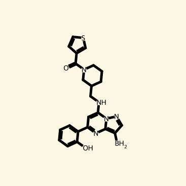 Bc1cnn2c(NCC3CCCN(C(=O)c4ccsc4)C3)cc(-c3ccccc3O)nc12